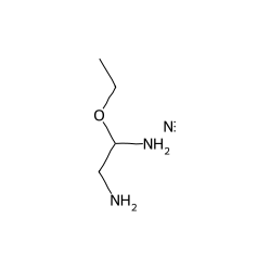 CCOC(N)CN.[N]